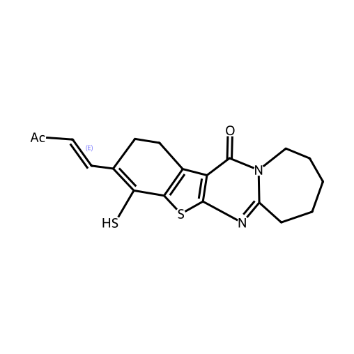 CC(=O)/C=C/C1=C(S)c2sc3nc4n(c(=O)c3c2CC1)CCCCC4